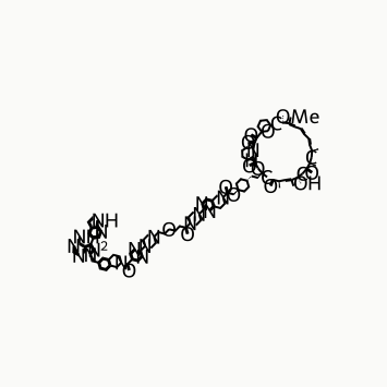 CO[C@H]1CC2CCCC(O2)C(=O)C(=O)N2CCCC[C@H]2C(=O)O[C@H](CC[C@H]2CC[C@H](OC(=O)N3CCc4nc(N5CCN(C(=O)CCOCCN6CCN(c7ncc(C(=O)N8CCc9cc(Cn%10nc(-c%11cnc%12[nH]ccc%12c%11)c%11c(N)ncnc%11%10)ccc9C8)cn7)CC6)CC5)ncc4C3)CC2)CC(=O)[C@H](C)/C=C(\C)[C@@H](O)CC(=O)[C@H](C)C[C@H](C)/C=C/C=C/C=C/1C